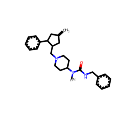 C=C1CC(CN2CCC(N(CCC)C(=O)NCc3ccccc3)CC2)C(c2ccccc2)C1